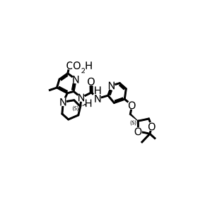 Cc1cc(C(=O)O)nc2c1N1CCC[C@@H](C1)N2C(=O)Nc1cc(OC[C@H]2COC(C)(C)O2)ccn1